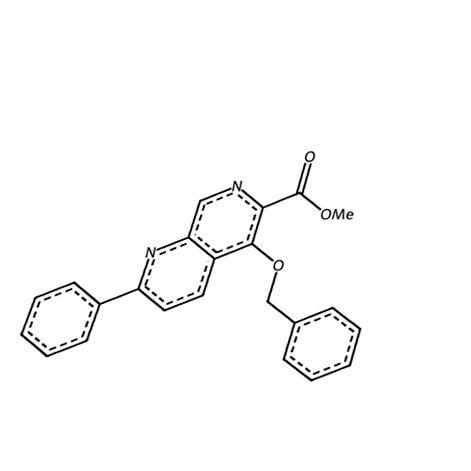 COC(=O)c1ncc2nc(-c3ccccc3)ccc2c1OCc1ccccc1